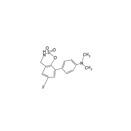 CN(C)c1ccc(-c2cc(F)cc3c2OS(=O)(=O)NC3)cc1